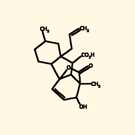 C=CCC12CC(C)CCC1C13C=CC(O)C(C)(C(=O)O1)C3C2C(=O)O